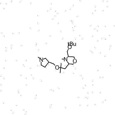 CN1CCC(COC(C)(C)CC2COCC(COC(C)(C)C)N2C)C1